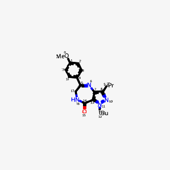 COc1ccc(C2=Nc3c(C(C)C)nn(C(C)(C)C)c3C(=O)NC2)cc1